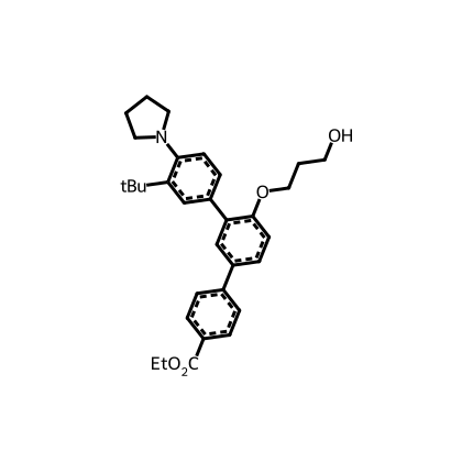 CCOC(=O)c1ccc(-c2ccc(OCCCO)c(-c3ccc(N4CCCC4)c(C(C)(C)C)c3)c2)cc1